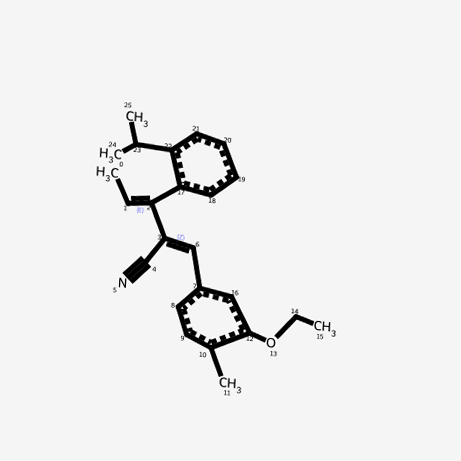 C/C=C(/C(C#N)=C/c1ccc(C)c(OCC)c1)c1ccccc1C(C)C